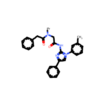 Cc1cccc(-n2cc(-c3ccccc3)nc2NC(=O)CN(C(=O)Cc2ccccc2)C(C)C)c1